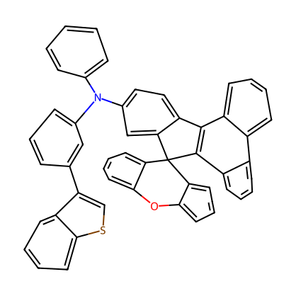 c1ccc(N(c2cccc(-c3csc4ccccc34)c2)c2ccc3c(c2)C2(c4ccccc4Oc4ccccc42)c2c-3c3ccccc3c3ccccc23)cc1